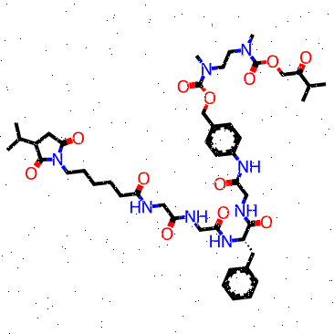 CC(C)C(=O)COC(=O)N(C)CCN(C)C(=O)OCc1ccc(NC(=O)CNC(=O)[C@H](Cc2ccccc2)NC(=O)CNC(=O)CNC(=O)CCCCCN2C(=O)CC(C(C)C)C2=O)cc1